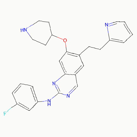 Fc1cccc(Nc2ncc3cc(CCc4ccccn4)c(OC4CCNCC4)cc3n2)c1